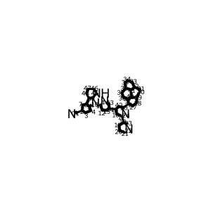 N#Cc1ccc2c(c1)c1c(n2-c2ccc(-c3cc(-c4cccnc4)nc(-c4ccc5ccc6cccc7ccc4c5c67)c3)cn2)NCC=C1